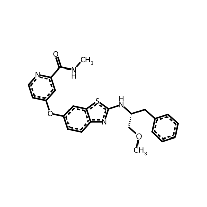 CNC(=O)c1cc(Oc2ccc3nc(N[C@@H](COC)Cc4ccccc4)sc3c2)ccn1